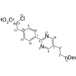 CCCCCCCCCCCCc1cnc(-c2ccc(C[C@@H](Cl)C(=O)O)cc2)nc1